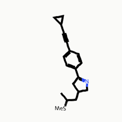 CSC(C)CC1CN=C(c2ccc(C#CC3CC3)cc2)C1